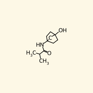 CC(C)C(=O)NC12CCC(O)(CC1)CC2